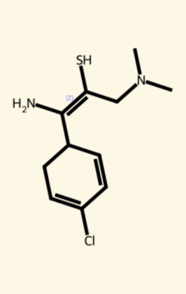 CN(C)C/C(S)=C(/N)C1C=CC(Cl)=CC1